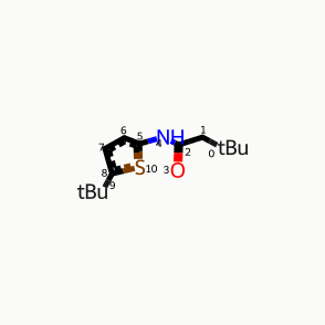 CC(C)(C)CC(=O)Nc1ccc(C(C)(C)C)s1